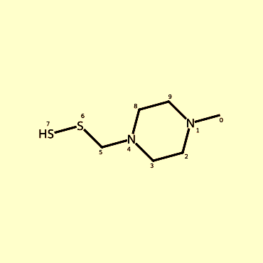 CN1CCN(CSS)CC1